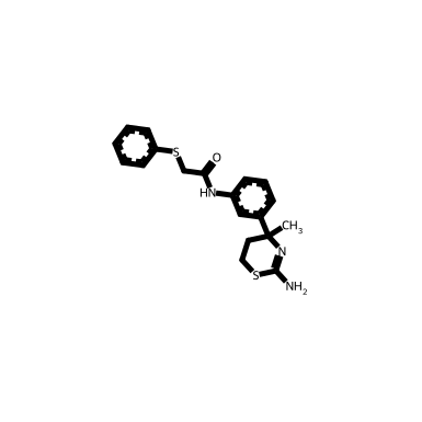 CC1(c2cccc(NC(=O)CSc3ccccc3)c2)CCSC(N)=N1